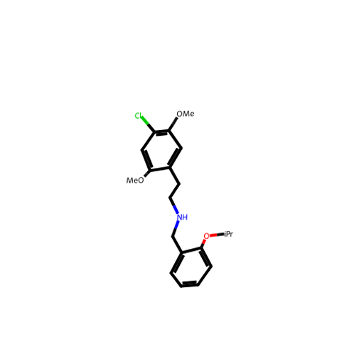 COc1cc(CCNCc2ccccc2OC(C)C)c(OC)cc1Cl